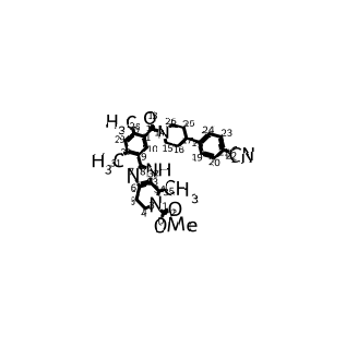 COC(=O)N1CCc2nc(-c3cc(C(=O)N4CCC(c5ccc(C#N)cc5)CC4)c(C)cc3C)[nH]c2C1C